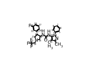 Cc1nn(-c2ccccc2)c(NC(=O)N[C@H]2CN(CC(F)(F)F)C[C@@H]2c2cccc(F)c2)c1C